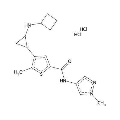 Cc1sc(C(=O)Nc2cnn(C)c2)cc1C1CC1NC1CCC1.Cl.Cl